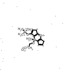 CCO[Si]1(C)C2=[C](CC=C2)[Zr+2][C]2=C1C(O[Si](C)(C)C)=CC2.[Cl-].[Cl-]